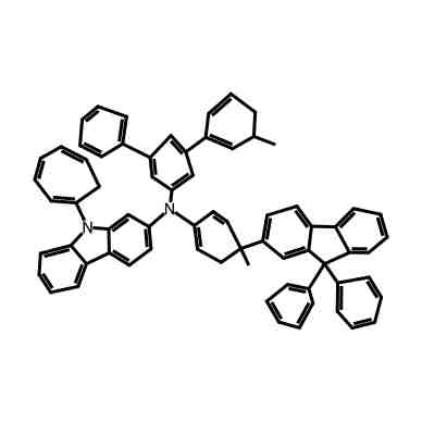 CC1C=C(c2cc(-c3ccccc3)cc(N(C3=CCC(C)(c4ccc5c(c4)C(c4ccccc4)(c4ccccc4)c4ccccc4-5)C=C3)c3ccc4c5ccccc5n(C5=CC=CC=CC5)c4c3)c2)C=CC1